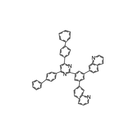 c1ccc(-c2ccc(-c3cc(-c4ccc(-c5ccccc5)cc4)nc(-c4cc(-c5ccc6cccnc6c5)cc(-c5ccc6cccnc6c5)c4)n3)cc2)cc1